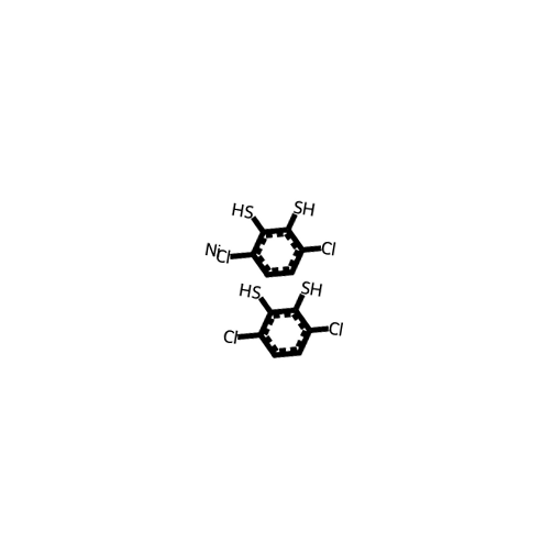 Sc1c(Cl)ccc(Cl)c1S.Sc1c(Cl)ccc(Cl)c1S.[Ni]